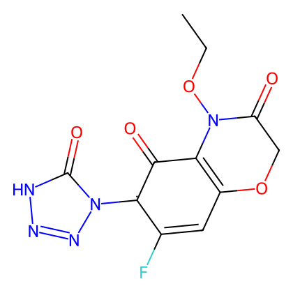 CCON1C(=O)COC2=C1C(=O)[C](n1nn[nH]c1=O)C(F)=C2